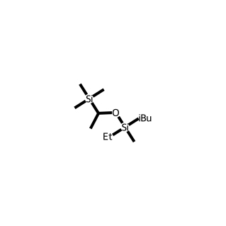 CCC(C)[Si](C)(CC)OC(C)[Si](C)(C)C